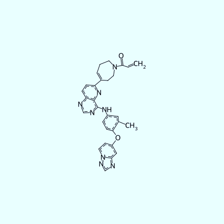 C=CC(=O)N1CCC=C(c2ccc3ncnc(Nc4ccc(Oc5ccn6ncnc6c5)c(C)c4)c3n2)CC1